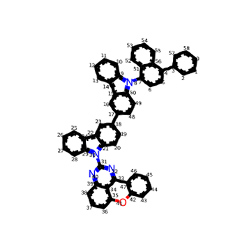 c1ccc(-c2ccc(-n3c4ccccc4c4cc(-c5ccc6c(c5)c5ccccc5n6-c5nc6c7c(cccc7n5)Oc5ccccc5-6)ccc43)c3ccccc23)cc1